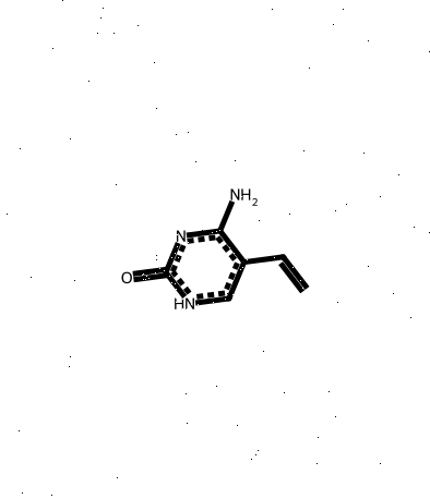 C=Cc1c[nH]c(=O)nc1N